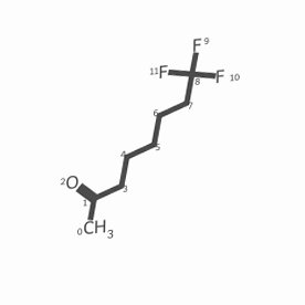 CC(=O)CCCCCC(F)(F)F